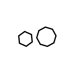 C1CCCCC1.C1CCCCCCC1